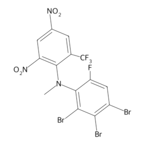 CN(c1c([N+](=O)[O-])cc([N+](=O)[O-])cc1C(F)(F)F)c1c(F)cc(Br)c(Br)c1Br